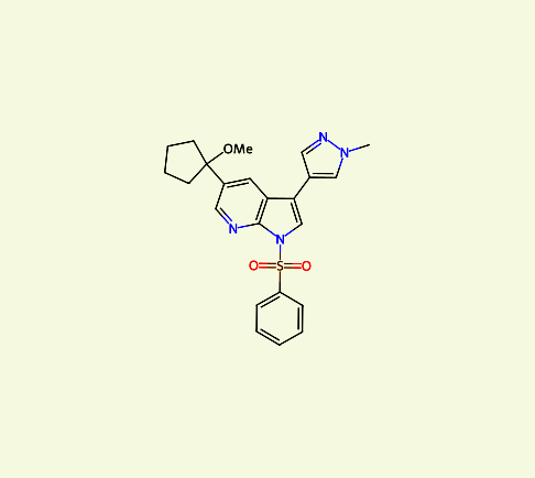 COC1(c2cnc3c(c2)c(-c2cnn(C)c2)cn3S(=O)(=O)c2ccccc2)CCCC1